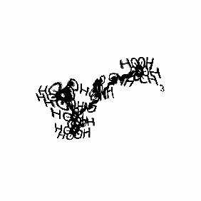 C[C@@H]1O[C@@H](OCCNC(=O)CCCCN[C@@H](CCC(=O)NCCO[C@H]2O[C@H](CO[C@H]3O[C@H](CO)[C@@H](O)[C@H](O)[C@@H]3O)[C@@H](O)[C@H](O[C@H]3O[C@H](CO)[C@@H](O)[C@H](O)[C@@H]3O)[C@@H]2O)C(=O)ON2C(=O)CCC2=O)[C@@H](O)[C@H](O)[C@@H]1O